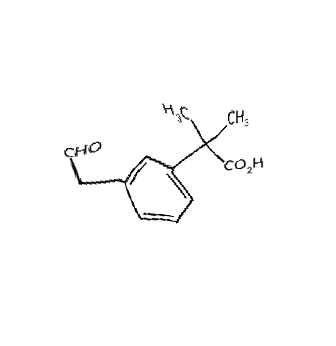 CC(C)(C(=O)O)c1cccc(CC=O)c1